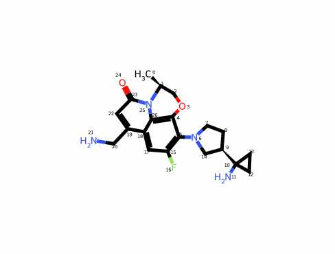 C[C@H]1COc2c(N3CC[C@@H](C4(N)CC4)C3)c(F)cc3c(CN)cc(=O)n1c23